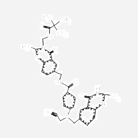 C#CCN(Cc1ccc2nc(C)[nH]c(=O)c2c1)c1ccc(C(=O)NCc2ccc3nc(C)n(COC(=O)C(C)(C)C)c(=O)c3c2)cc1